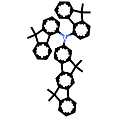 CC1(C)c2ccccc2-c2cc3c(cc21)-c1ccc(N(c2cccc4c2-c2ccccc2C4(C)C)c2cccc4c2-c2ccccc2C4(C)C)cc1C3(C)C